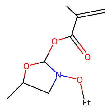 C=C(C)C(=O)OC1OC(C)CN1OCC